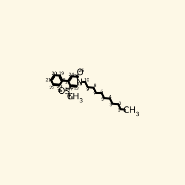 CCCCCCCCCCCn1cc([S+](C)[O-])c(-c2ccccc2)cc1=O